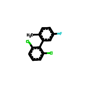 Cc1ccc(F)cc1-c1c(Cl)cccc1Cl